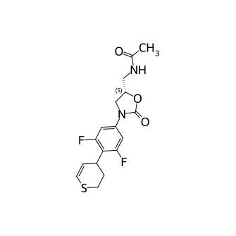 CC(=O)NC[C@H]1CN(c2cc(F)c(C3C=CSCC3)c(F)c2)C(=O)O1